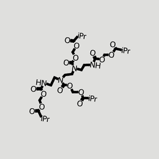 CC(C)C(=O)OCOC(=O)NCCN(CCN(CCNC(=O)OCOC(=O)C(C)C)C(=O)OCOC(=O)C(C)C)C(=O)OCOC(=O)C(C)C